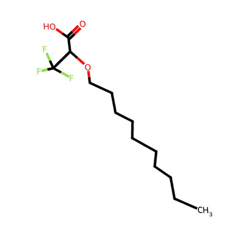 CCCCCCCCCCOC(C(=O)O)C(F)(F)F